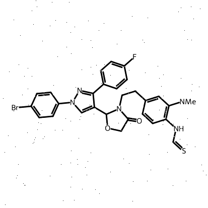 CNc1cc(CCN2C(=O)COC2c2cn(-c3ccc(Br)cc3)nc2-c2ccc(F)cc2)ccc1NC=S